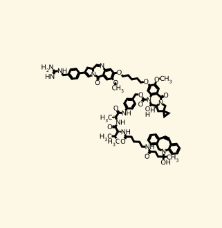 COc1cc2c(cc1OCCCCCOc1cc3c(cc1OC)C(=O)N1CC4(CC4)C[C@H]1C(O)N3C(=O)OCc1ccc(NC(=O)[C@H](C)NC(=O)[C@@H](NC(=O)CCCCNC(=O)CCC(C)(O)N3Cc4ccccc4C#Cc4ccccc43)C(C)C)cc1)N=CC1CC(c3ccc(CNC(=N)N)cc3)=CN1C2=O